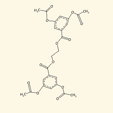 CC(=O)Oc1cc(OC(C)=O)cc(C(=O)OCCOC(=O)c2cc(OC(C)=O)cc(OC(C)=O)c2)c1